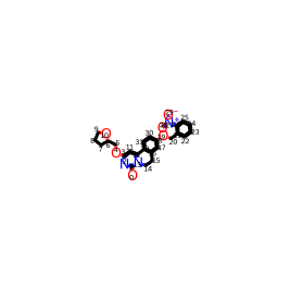 O=c1nc(OCC2CCCO2)cc2n1CCc1cc(OCc3ccccc3[N+](=O)[O-])ccc1-2